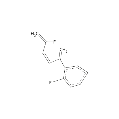 C=C(F)/C=C\C(=C)c1ccccc1F